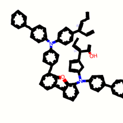 C=C/C=C(\C=C)c1ccc(N(c2ccc(-c3ccccc3)cc2)c2ccc(-c3cccc4c3oc3c(N(C5=CC=C(/C(=C/C)C(=C)O)C5)c5ccc(-c6ccccc6)cc5)cccc34)cc2)cc1